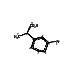 CC(C)c1cccc([C@@H](C)C(=O)O)c1